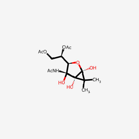 CC(=O)N[C@@]1(O)[C@@H]([C@@H](COC(C)=O)OC(C)=O)O[C@@]2(O)C(C)(C)[C@@]12O